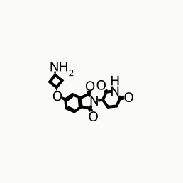 N[C@H]1C[C@H](Oc2ccc3c(c2)C(=O)N(C2CCC(=O)NC2=O)C3=O)C1